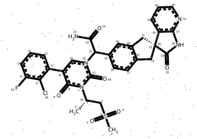 C[C@@H](CS(C)(=O)=O)n1c(=O)c(-c2cccc(F)c2Cl)cn(C(C(N)=O)c2ccc3c(c2)C[C@@]2(C3)C(=O)Nc3ncccc32)c1=O